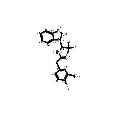 CC(C)(C)C(NC(=O)Cc1ccc(F)c(F)c1)n1nnc2ccccc21